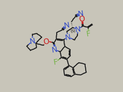 C=C(F)C(=O)N1CCN(C2=C(CC#N)C(OCC34CCCN3CCC4)=NC3C(F)=C(c4cccc5c4CCCC5)C=CC23)C[C@@H]1CC#N